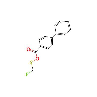 O=C(OSCF)c1ccc(-c2ccccc2)cc1